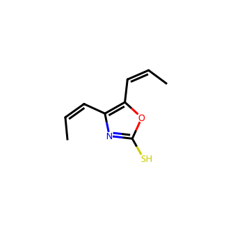 C/C=C\c1nc(S)oc1/C=C\C